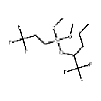 CCCC(O[Si](CCC(F)(F)F)(OC)OC)C(F)(F)F